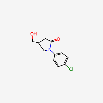 O=C1CC(CO)CN1c1ccc(Cl)cc1